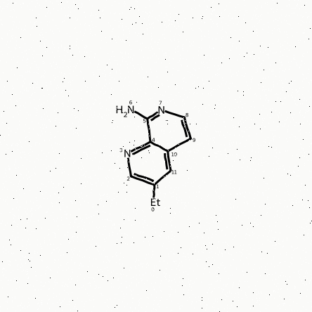 CCc1cnc2c(N)nccc2c1